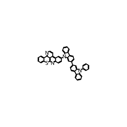 c1ccc(-n2c3ccccc3c3ccc(-c4ccc5c6ccccc6n(-c6ccc7nc8c9c(nccc9c7c6)-c6ccccc6S8)c5c4)cc32)cc1